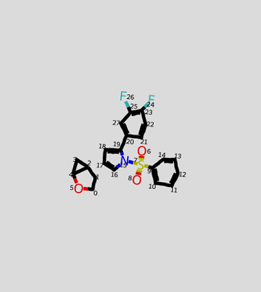 C1CC2CC2O1.O=S(=O)(c1ccccc1)n1cccc1-c1ccc(F)c(F)c1